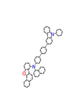 c1ccc(-n2c3ccccc3c3cc(-c4ccc(-c5ccc(N(c6cccc7ccccc67)c6cccc7oc8c9ccccc9ccc8c67)cc5)cc4)ccc32)cc1